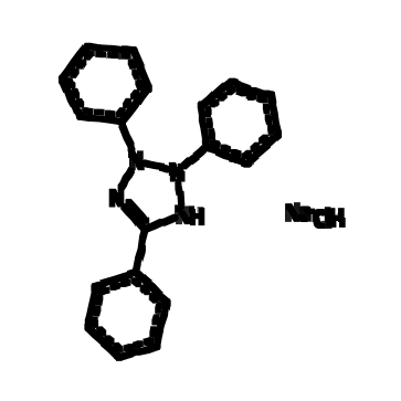 Cl.[Na].c1ccc(C2=NN(c3ccccc3)N(c3ccccc3)N2)cc1